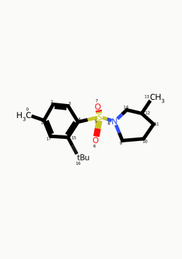 Cc1ccc(S(=O)(=O)N2CCCC(C)C2)c(C(C)(C)C)c1